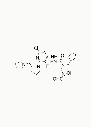 O=CN(O)C[C@@H](CC1CCCC1)C(=O)NNc1nc(Cl)nc(N2CCC[C@H]2CN2CCCC2)c1F